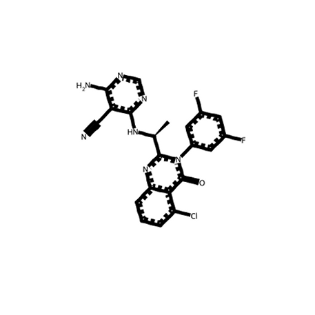 C[C@H](Nc1ncnc(N)c1C#N)c1nc2cccc(Cl)c2c(=O)n1-c1cc(F)cc(F)c1